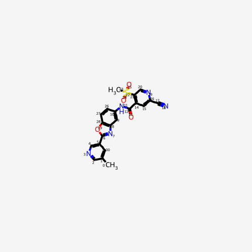 Cc1cncc(-c2nc3cc(NC(=O)c4cc(C#N)ncc4S(C)(=O)=O)ccc3o2)c1